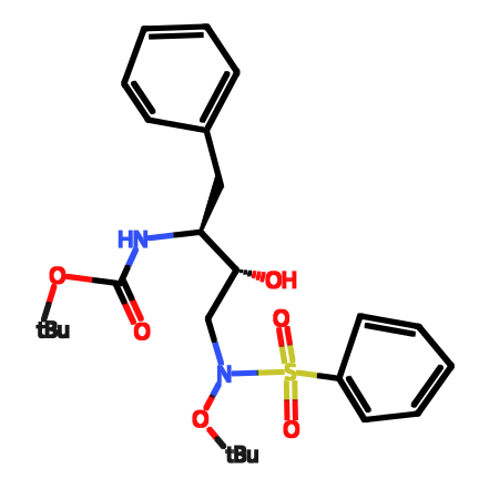 CC(C)(C)OC(=O)N[C@@H](Cc1ccccc1)[C@H](O)CN(OC(C)(C)C)S(=O)(=O)c1ccccc1